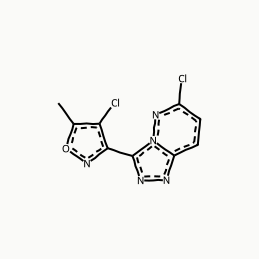 Cc1onc(-c2nnc3ccc(Cl)nn23)c1Cl